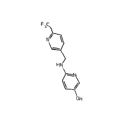 Oc1ccc(NCc2ccc(C(F)(F)F)nc2)nc1